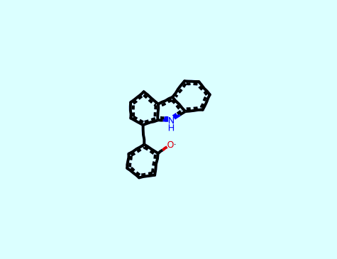 [O]c1ccccc1-c1cccc2c1[nH]c1ccccc12